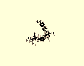 Cc1ccc(C(=O)Nc2cc(C(C)(C)C)n[nH]2)cc1Nc1ncnc2c(N)nc(N3CCN(C4CCN(C)CC4)CC3)nc12